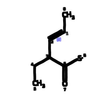 C/C=C/C(CC)C(=O)[S]